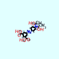 CC(O)N(c1ccc(N=Nc2cc(C(=O)O)cc(C(=O)O)c2)cc1)C(C)O